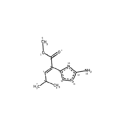 COC(=O)/C(=C/C(C)C)c1csc(N)n1